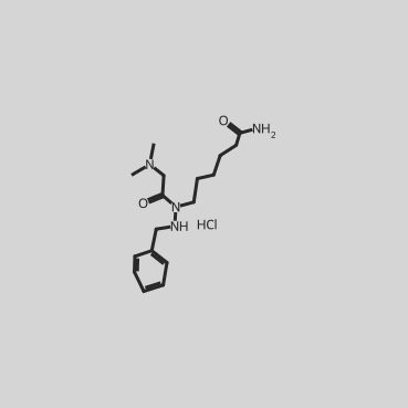 CN(C)CC(=O)N(CCCCCC(N)=O)NCc1ccccc1.Cl